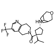 CC(C)[C@]1(C(=O)N2CCc3ncc(C(F)(F)F)cc3C2)CC[C@@H](NC2C3CCC2COC3)C1